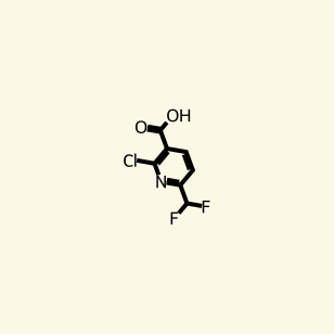 O=C(O)c1ccc(C(F)F)nc1Cl